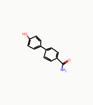 NC(=O)c1ccc(-c2ccc(O)cc2)cc1